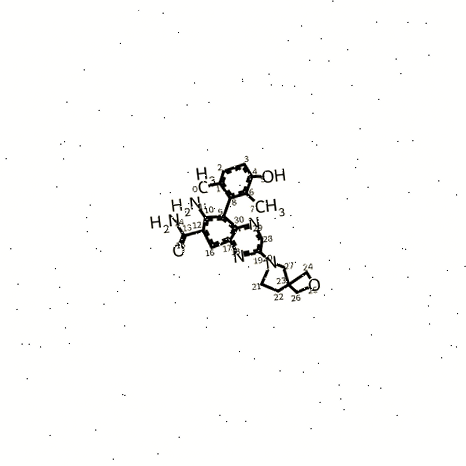 Cc1ccc(O)c(C)c1-c1c(N)c(C(N)=O)cc2nc(N3CCC4(COC4)C3)cnc12